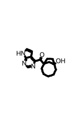 O=C(c1ncnc2[nH]ccc12)C12CCCCCC(O)(CC1)C2